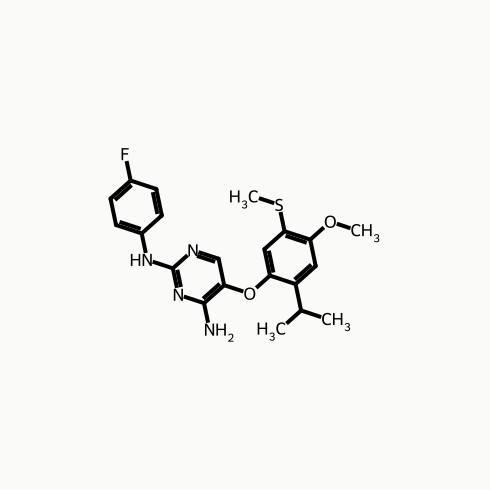 COc1cc(C(C)C)c(Oc2cnc(Nc3ccc(F)cc3)nc2N)cc1SC